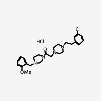 COc1ccccc1CN1CCN(C(=O)CN2CCN(CCc3cccc(Cl)c3)CC2)CC1.Cl